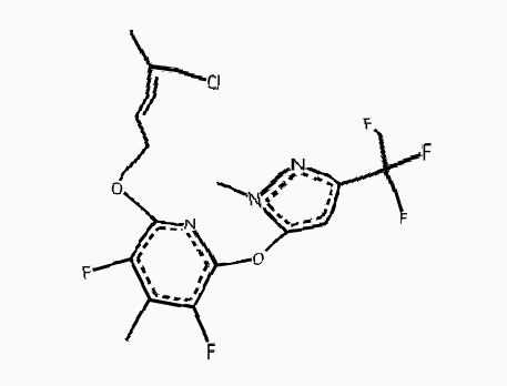 CC(Cl)=CCOc1nc(Oc2cc(C(F)(F)F)nn2C)c(F)c(C)c1F